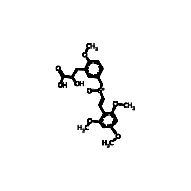 COc1cc(OC)c(/C=C/[S+]([O-])Cc2ccc(OC)c(CC(O)C(=O)O)c2)c(OC)c1